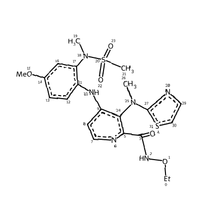 CCONC(=O)c1nccc(Nc2ccc(OC)cc2N(C)S(C)(=O)=O)c1N(C)c1nccs1